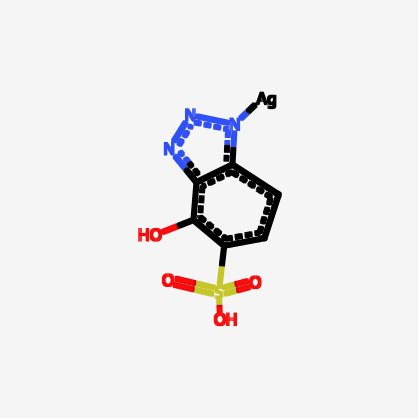 O=S(=O)(O)c1ccc2c(nn[n]2[Ag])c1O